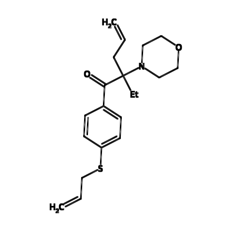 C=CCSc1ccc(C(=O)C(CC)(CC=C)N2CCOCC2)cc1